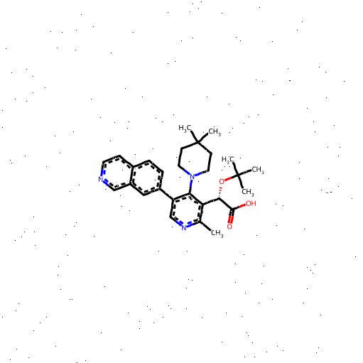 Cc1ncc(-c2ccc3ccncc3c2)c(N2CCC(C)(C)CC2)c1[C@H](OC(C)(C)C)C(=O)O